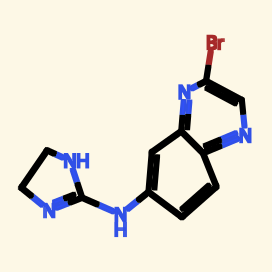 Brc1cnc2ccc(NC3=NCCN3)cc2n1